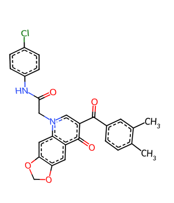 Cc1ccc(C(=O)c2cn(CC(=O)Nc3ccc(Cl)cc3)c3cc4c(cc3c2=O)OCO4)cc1C